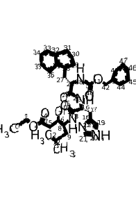 CCOC(=O)CC(O)C(CC(C)C)NC(=O)[C@@H](Cc1c[nH]cn1)NC(=O)[C@H](Cc1cccc2ccccc12)NC(=O)OCc1ccccc1